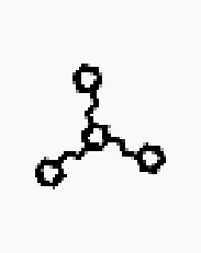 [c]1c(CCc2ccccc2)cc(CCc2ccccc2)cc1CCc1ccccc1